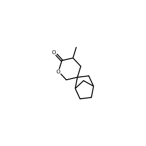 CC1CC2(COC1=O)CC1CCC2C1